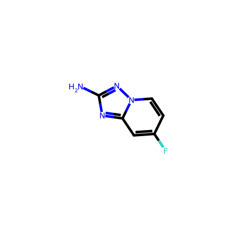 Nc1nc2cc(F)ccn2n1